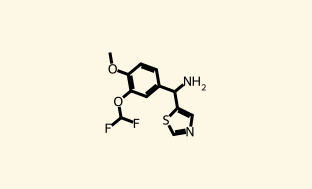 COc1ccc(C(N)c2cncs2)cc1OC(F)F